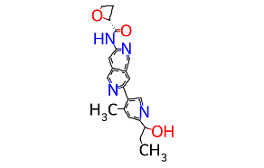 CCC(O)c1cc(C)c(-c2cc3cnc(NC(=O)[C@H]4CCO4)cc3cn2)cn1